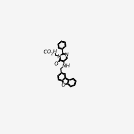 O=C(O)Cn1c(-c2ccccc2)ncc(NCc2ccc3oc4ccccc4c3c2)c1=O